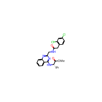 COC(=O)[C@@H](Nc1nc(CNC(=O)Cc2ccc(Cl)cc2Cl)nc2ccccc12)C(C)C